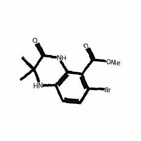 COC(=O)c1c(Br)ccc2c1NC(=O)C(C)(C)N2